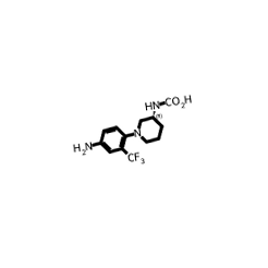 Nc1ccc(N2CCC[C@@H](NC(=O)O)C2)c(C(F)(F)F)c1